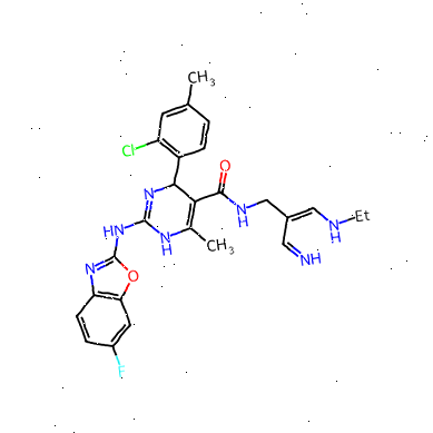 CCN/C=C(\C=N)CNC(=O)C1=C(C)NC(Nc2nc3ccc(F)cc3o2)=NC1c1ccc(C)cc1Cl